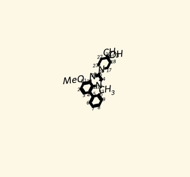 COc1ccc(-c2ccccc2C)c2ncc(N3CCC(C)(O)CC3)nc12